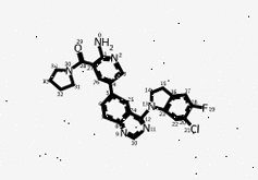 Nc1ncc(-c2ccc3ncnc(N4CCc5cc(F)c(Cl)cc54)c3c2)cc1C(=O)N1CCCC1